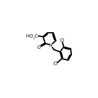 O=C(O)c1cccn(Cc2c(Cl)cccc2Cl)c1=O